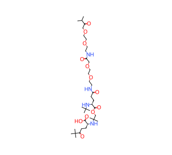 CC(C)C(=O)COCCOCCNC(=O)COCCOCCNC(=O)CC[C@H](NC(C)(C)C)C(=O)OCC(C)(C)N[C@@H](CCC(=O)C(C)(C)C)C(=O)O